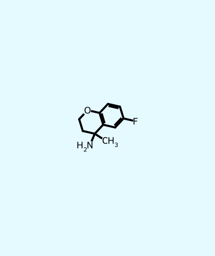 CC1(N)CCOc2ccc(F)cc21